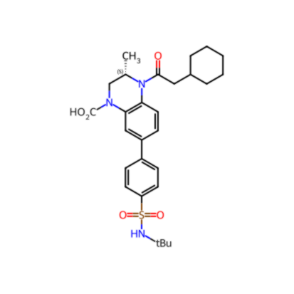 C[C@H]1CN(C(=O)O)c2cc(-c3ccc(S(=O)(=O)NC(C)(C)C)cc3)ccc2N1C(=O)CC1CCCCC1